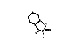 O=P1(F)OC2CCCCC2O1